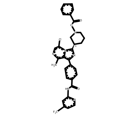 Nc1ncc(Cl)n2c([C@@H]3CCCN(OC(=O)c4ccccc4)C3)nc(-c3ccc(C(=O)Nc4cc(C(F)(F)F)ccn4)cc3)c12